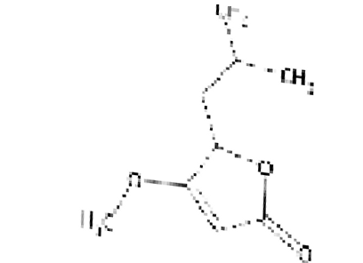 COC1=CC(=O)OC1CC(C)C